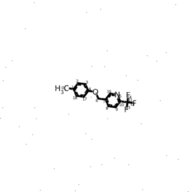 Cc1ccc(OCc2ccc(C(F)(F)F)nc2)cc1